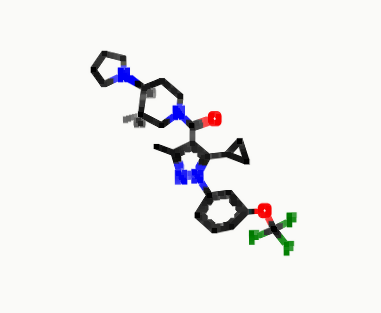 Cc1nn(-c2cccc(OC(F)(F)F)c2)c(C2CC2)c1C(=O)N1CC[C@H](N2CCCC2)[C@@H](C)C1